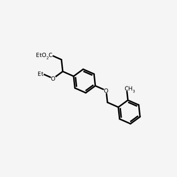 CCOC(=O)CC(OCC)c1ccc(OCc2ccccc2C)cc1